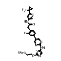 COCCOc1ncc(Nc2ncc(-c3ccc(CC(=O)Nc4cc(C5(C(F)(F)F)CC5)on4)c(F)c3)cn2)s1